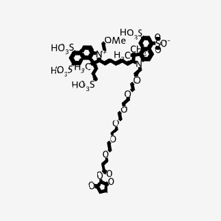 COCC[N+]1=C(/C=C/C=C/C=C2/N(CCOCCOCCOCCOCCOCCOCCC(=O)OC3C(=O)CCC3=O)c3ccc4c(S(=O)(=O)[O-])cc(S(=O)(=O)O)cc4c3C2(C)C)C(C)(CCCS(=O)(=O)O)c2c1ccc1c(S(=O)(=O)O)cc(S(=O)(=O)O)cc21